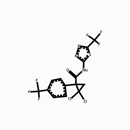 O=C(Nc1nnc(C(F)(F)F)s1)C1(c2ccc(C(F)(F)F)cc2)CC1(Cl)Cl